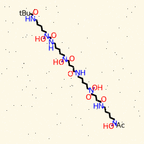 CC(=O)N(O)CCCCCNC(=O)CCC(=O)N(O)CCCCCNC(=O)CCC(=O)N(O)CCCCCNC(=O)N(O)CCCCCNC(=O)C(C)(C)C